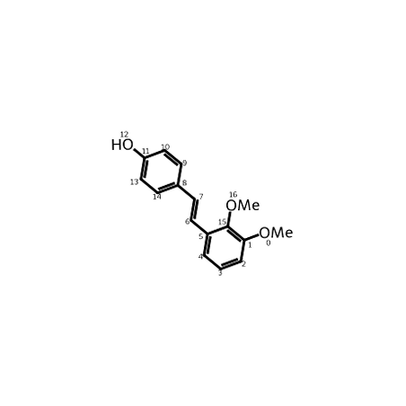 COc1cccc(C=Cc2ccc(O)cc2)c1OC